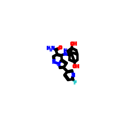 NC(=O)c1cnn2cc(-c3ccc(F)nc3)cc2c1NC12CC3CC(O)(CC(O)(C3)C1)C2